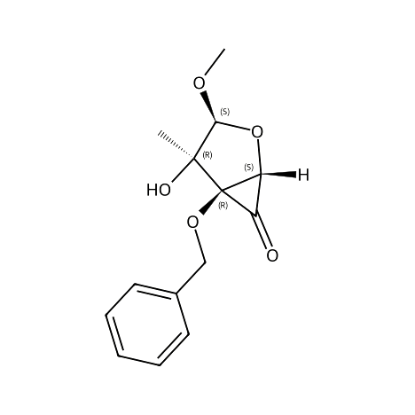 CO[C@H]1O[C@@H]2C(=O)[C@]2(OCc2ccccc2)[C@@]1(C)O